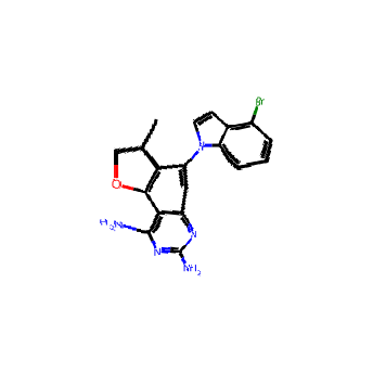 CC1COc2c1c(-n1ccc3c(Br)cccc31)cc1nc(N)nc(N)c21